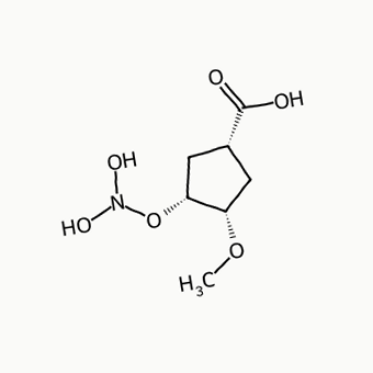 CO[C@H]1C[C@@H](C(=O)O)C[C@H]1ON(O)O